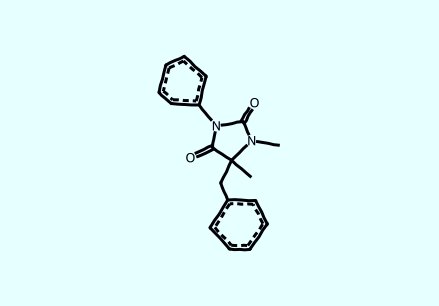 CN1C(=O)N(c2ccccc2)C(=O)C1(C)Cc1ccccc1